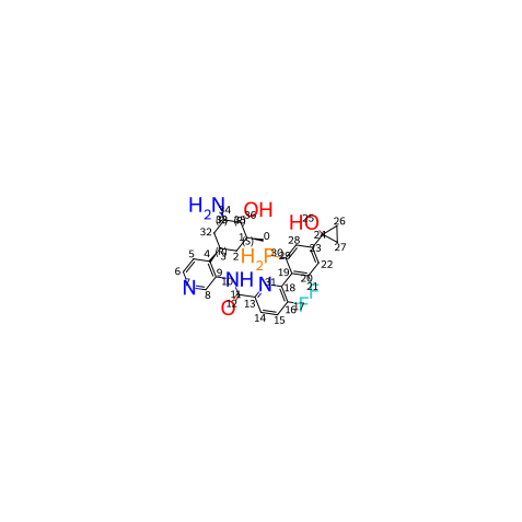 C[C@H]1C[C@@H](c2ccncc2NC(=O)c2ccc(F)c(-c3c(F)cc(C4(O)CC4)cc3P)n2)C[C@@H](N)[C@@H]1O